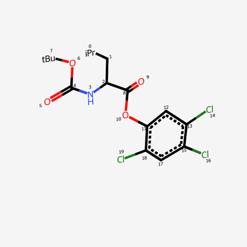 CC(C)CC(NC(=O)OC(C)(C)C)C(=O)Oc1cc(Cl)c(Cl)cc1Cl